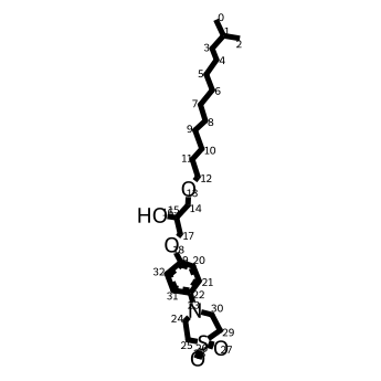 CC(C)CCCCCCCCCCOCC(O)COc1ccc(N2CCS(=O)(=O)CC2)cc1